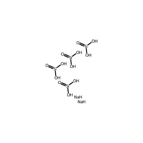 O=[Si](O)O.O=[Si](O)O.O=[Si](O)O.O=[Si](O)O.[NaH].[NaH]